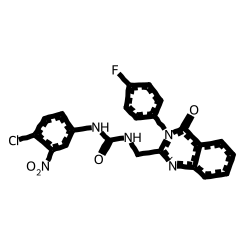 O=C(NCc1nc2ccccc2c(=O)n1-c1ccc(F)cc1)Nc1ccc(Cl)c([N+](=O)[O-])c1